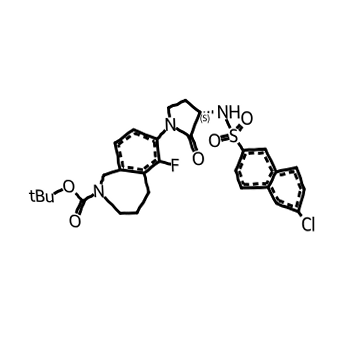 CC(C)(C)OC(=O)N1CCCc2c(ccc(N3CC[C@H](NS(=O)(=O)c4ccc5cc(Cl)ccc5c4)C3=O)c2F)C1